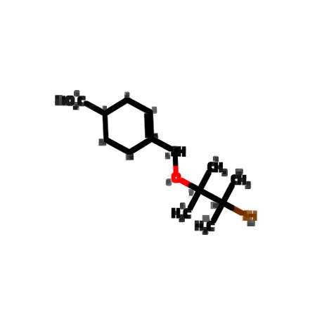 CCOC(=O)C1CC=C(BOC(C)(C)C(C)(C)S)CC1